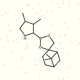 CC1CNC(B2OCC3(CCC4CC3C4(C)C)O2)C1C